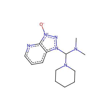 CN(C)C(N1CCCCC1)n1n[n+]([O-])c2ncccc21